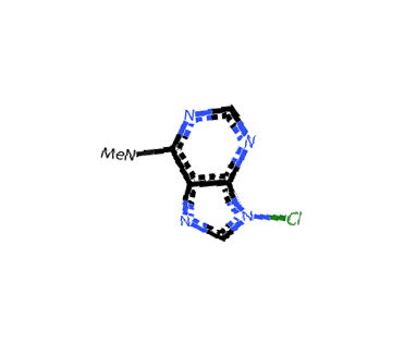 CNc1ncnc2c1ncn2Cl